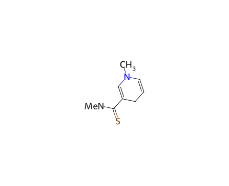 CNC(=S)C1=CN(C)C=CC1